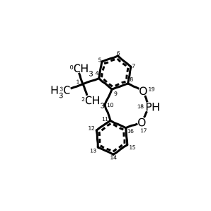 CC(C)(C)c1cccc2c1Cc1ccccc1OPO2